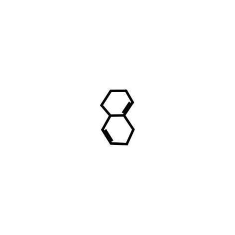 C1=CC2CCCC=C2CC1